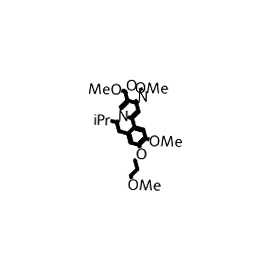 COCCCOc1cc2c(cc1OC)-c1c/c(=N/OC)c(C(=O)OC)cn1C(C(C)C)C2